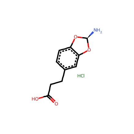 Cl.N[C@@H]1Oc2ccc(CCC(=O)O)cc2O1